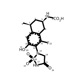 C[C@H]1C[C@@H](NC(=O)O)Cc2c1cc(O)c(N1CC(=O)NS1(=O)=O)c2F